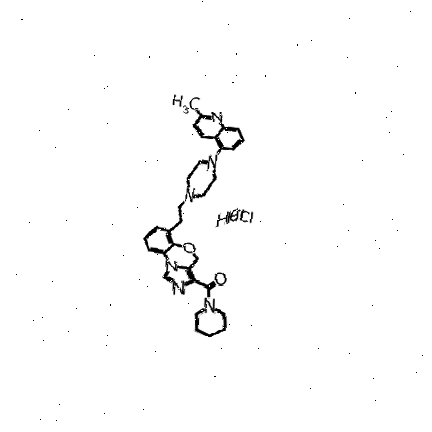 Cc1ccc2c(N3CCN(CCc4cccc5c4OCc4c(C(=O)N6CCCCC6)ncn4-5)CC3)cccc2n1.Cl.Cl